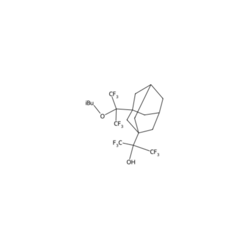 CCC(C)OC(C(F)(F)F)(C(F)(F)F)C12CC3CC(CC(C(O)(C(F)(F)F)C(F)(F)F)(C3)C1)C2